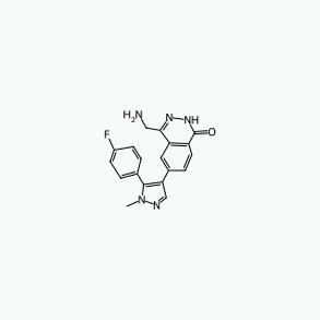 Cn1ncc(-c2ccc3c(=O)[nH]nc(CN)c3c2)c1-c1ccc(F)cc1